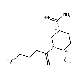 CCCCC(=O)N1C[C@H](C(=N)N)CC[C@@H]1C